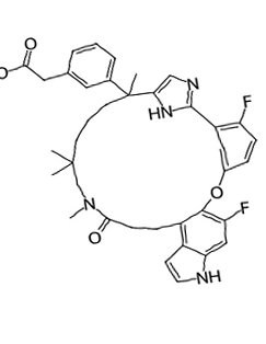 CN1CC(C)(C)CCCC(C)(c2cccc(CC(=O)O)c2)c2cnc([nH]2)-c2cc(ccc2F)Oc2c(F)cc3[nH]ccc3c2CCC1=O